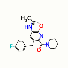 C[C@H]1COc2nc(C(=O)N3CCCCC3)c(Cc3ccc(F)cc3)cc2N1